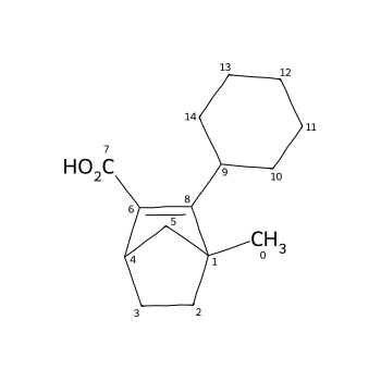 CC12CCC(C1)C(C(=O)O)=C2C1CCCCC1